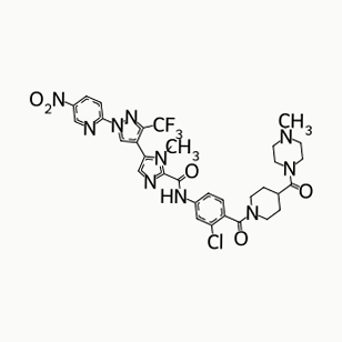 CN1CCN(C(=O)C2CCN(C(=O)c3ccc(NC(=O)c4ncc(-c5cn(-c6ccc([N+](=O)[O-])cn6)nc5C(F)(F)F)n4C)cc3Cl)CC2)CC1